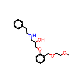 COCCOCc1ccccc1OCC(O)CNCCc1ccccc1